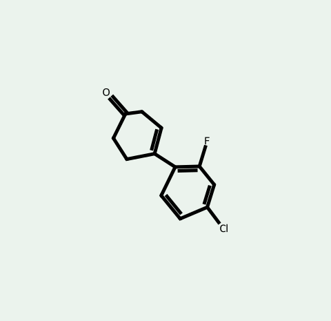 O=C1CC=C(c2ccc(Cl)cc2F)CC1